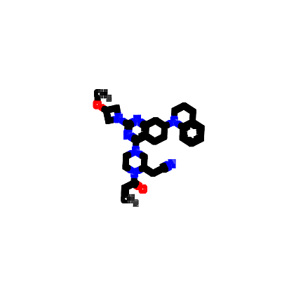 C=CC(=O)N1CCN(c2nc(N3CC(OC)C3)nc3c2CCC(N2CCCc4ccccc42)C3)CC1CC#N